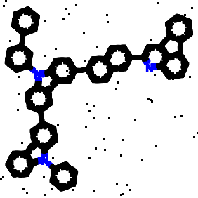 c1ccc(-c2cccc(-n3c4ccc(-c5ccc6cc(-c7cc8c9c(cccc9n7)-c7ccccc7-8)ccc6c5)cc4c4cc(-c5ccc6c(c5)c5ccccc5n6-c5ccccc5)ccc43)c2)cc1